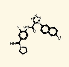 N=C(c1ccc(NC(=O)c2nnnn2-c2ccc3cc(Cl)ccc3c2)c(F)c1)N1CCCC1